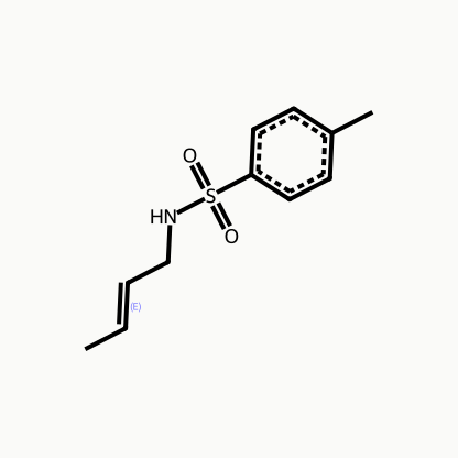 C/C=C/CNS(=O)(=O)c1ccc(C)cc1